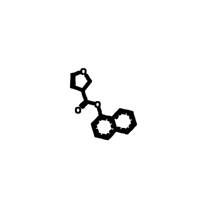 O=C(Oc1cccc2ccccc12)C1C=COC1